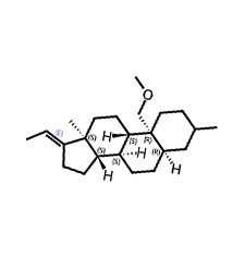 C/C=C1\CC[C@H]2[C@@H]3CC[C@@H]4CC(C)CC[C@]4(COC)[C@H]3CC[C@]12C